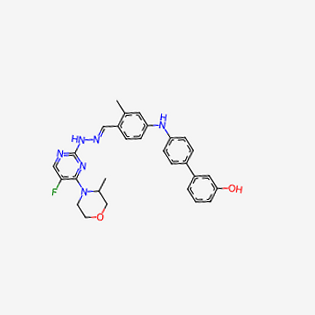 Cc1cc(Nc2ccc(-c3cccc(O)c3)cc2)ccc1/C=N/Nc1ncc(F)c(N2CCOCC2C)n1